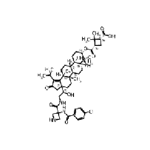 CC(C)C1=C2[C@H]3CC[C@@H]4[C@@]5(C)CC[C@H](OC(=O)[C@H]6C[C@@H](C(=O)O)C6(C)C)[C@@]6(C)P[C@@]56CC[C@@]4(C)[C@]3(C)CC[C@@]2([C@@H](O)CNC(=O)C2(NC(=O)c3ccc(Cl)cc3)CNC2)CC1=O